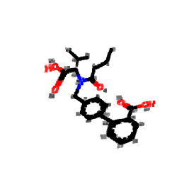 CCCC(=O)N(Cc1ccc(-c2ccccc2C(=O)O)cc1)[C@H](C(=O)O)C(C)C